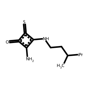 CC(C)C(C)CCNc1c(N)c(=O)c1=S